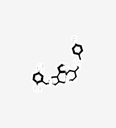 Fc1ccc(COCC2CCN(CC3CN(Cc4cc(Cl)ccc4Cl)CC3c3ccsc3)CC2)cc1